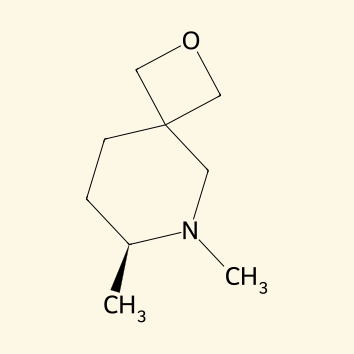 C[C@H]1CCC2(COC2)CN1C